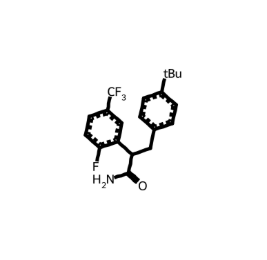 CC(C)(C)c1ccc(CC(C(N)=O)c2cc(C(F)(F)F)ccc2F)cc1